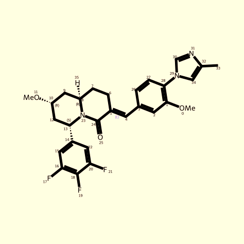 COc1cc(/C=C2\CC[C@@H]3C[C@@H](OC)C[C@@H](c4cc(F)c(F)c(F)c4)N3C2=O)ccc1-n1cnc(C)c1